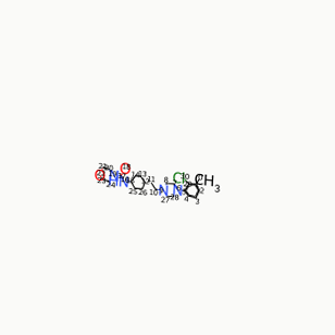 Cc1cccc(N2CCN(CC[C@H]3CC[C@H](NC(=O)N4CCOCC4)CC3)CC2)c1Cl